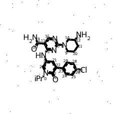 CC(C)n1cc(Nc2nc(N3CCCC(N)C3)ncc2C(N)=O)cc(-c2ccc(Cl)cc2)c1=O